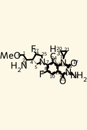 COC[C@@H](N)[C@H]1CN(c2c(F)cc3c(=O)n(N)c(=O)n(C4CC4)c3c2C)C[C@@H]1F